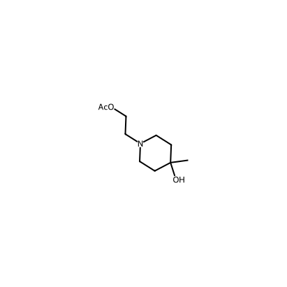 CC(=O)OCCN1CCC(C)(O)CC1